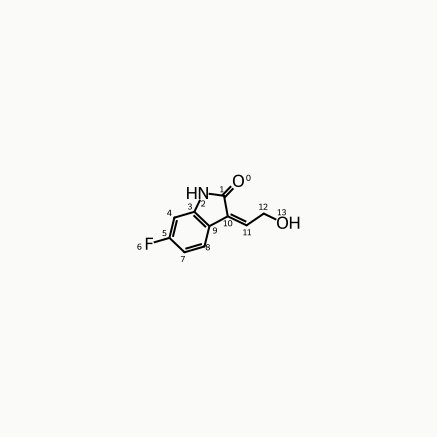 O=C1Nc2cc(F)ccc2C1=CCO